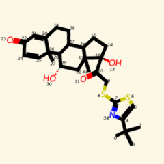 CC(C)(C)c1csc(SCC(=O)[C@@]2(O)CCC3C4CCC5=CC(=O)C=CC5(C)C4[C@@H](O)CC32C)n1